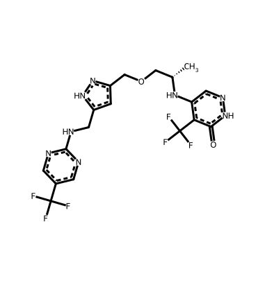 C[C@@H](COCc1cc(CNc2ncc(C(F)(F)F)cn2)[nH]n1)Nc1cn[nH]c(=O)c1C(F)(F)F